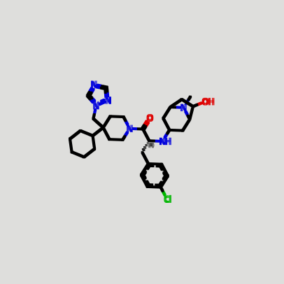 CN1C2CC(N[C@H](Cc3ccc(Cl)cc3)C(=O)N3CCC(Cn4cncn4)(C4CCCCC4)CC3)CC1C(O)C2